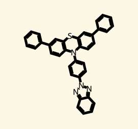 c1ccc(-c2ccc3c(c2)Sc2cc(-c4ccccc4)ccc2N3c2ccc(-n3nc4ccccc4n3)cc2)cc1